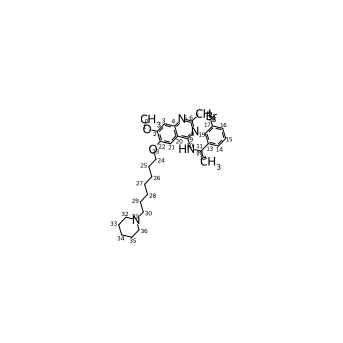 COc1cc2nc(C)nc(N[C@H](C)c3cccc(Br)c3)c2cc1OCCCCCCCN1CCCCC1